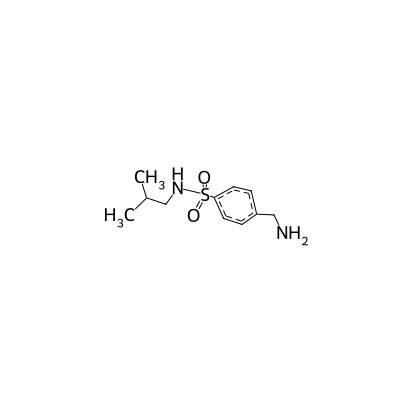 CC(C)CNS(=O)(=O)c1ccc(CN)cc1